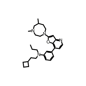 CCCN(CCC1CCC1)c1cccc(-c2ccnc3cc(N4CCC(C)CN(C)CC4)oc23)c1